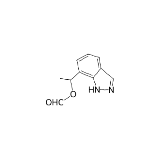 CC(OC=O)c1cccc2cn[nH]c12